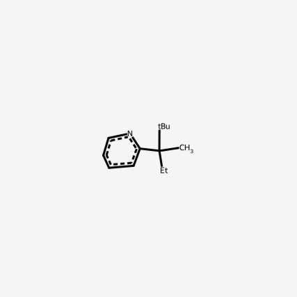 CCC(C)(c1ccccn1)C(C)(C)C